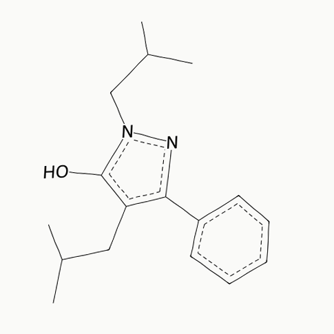 CC(C)Cc1c(-c2ccccc2)nn(CC(C)C)c1O